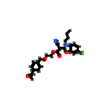 CCCCN1/C(=C(\C#N)C(=O)OCCOCc2ccc(C3CO3)cc2)Oc2cc(Cl)ccc21